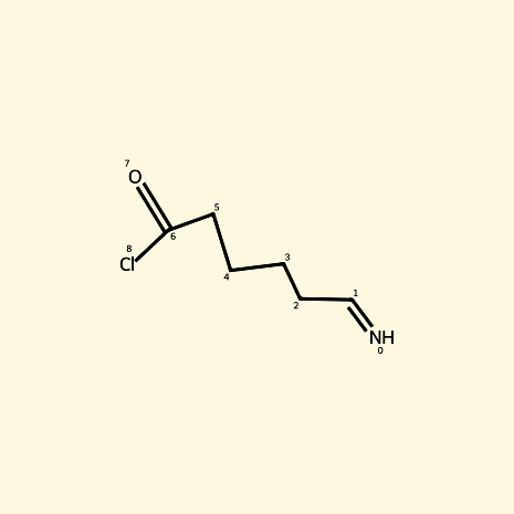 N=CCCCCC(=O)Cl